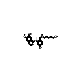 COc1cc2ncnc(Nc3cc(Br)ccc3CN(C)CCCCCO)c2cc1O